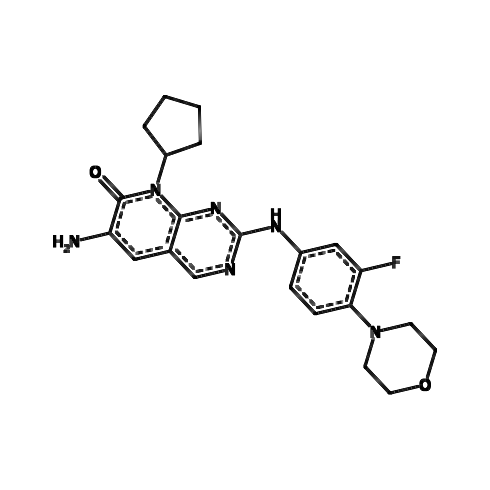 Nc1cc2cnc(Nc3ccc(N4CCOCC4)c(F)c3)nc2n(C2CCCC2)c1=O